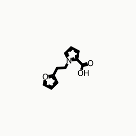 O=C(O)c1cccn1CCc1ccco1